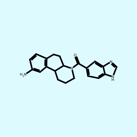 Nc1ccc2c(c1)C1CCCN(C(=O)c3ccc4[nH]cnc4c3)C1CC2